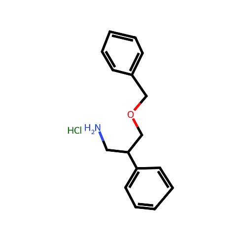 Cl.NCC(COCc1ccccc1)c1ccccc1